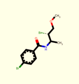 COC[C@@H](Br)C(C)NC(=O)c1ccc(Br)cc1